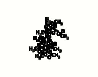 C=CC(=O)NC(COC(=O)NC)(CO[C@@H]1OC(COC(C)=O)[C@@H](OC(C)=O)C(OC(C)=O)[C@@H]1OC(C)=O)CO[C@@H]1OC(COC(C)=O)[C@@H](OC(C)=O)C(OC(C)=O)[C@@H]1OC(C)=O